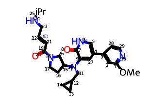 COc1cc(-c2c[nH]c(=O)c(N(CC3CC3)C3CCN(C(=O)/C=C/CNC(C)C)C3)c2)ccn1